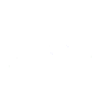 O=C(Nc1ccc(Br)cn1)c1cccc(C(F)(F)F)c1